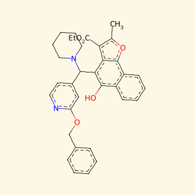 CCOC(=O)c1c(C)oc2c1c(C(c1ccnc(OCc3ccccc3)c1)N1CCCCC1)c(O)c1ccccc12